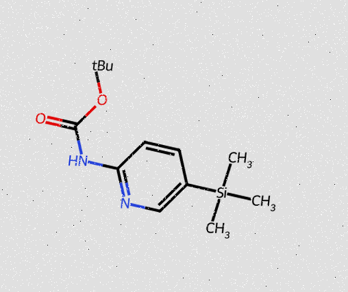 CC(C)(C)OC(=O)Nc1ccc([Si](C)(C)C)cn1